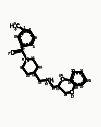 Cc1cccc(C(=O)N2CCC(CNCC3COc4ccccc4O3)CC2)c1